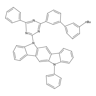 CCCCc1cccc(-c2cccc(-c3nc(-c4ccccc4)nc(-n4c5ccccc5c5cc6c(cc54)c4ccccc4n6-c4ccccc4)n3)c2)c1